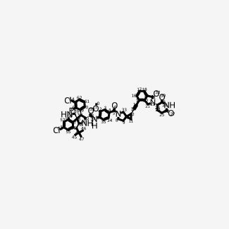 COc1cc(C(=O)N2CCC3(C[C@@H]3C#Cc3cccc4c3CN([C@H]3CCC(=O)NC3=O)C4=O)C2)ccc1NC(=O)[C@@H]1N[C@@H](CC(C)(C)C)[C@@]2(CNc3cc(Cl)ccc32)[C@H]1c1cccc(Cl)c1F